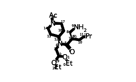 CCOC(CN(C(=O)[C@@H](CN)CC(C)C)C1CCN(C(C)=O)CC1)OCC